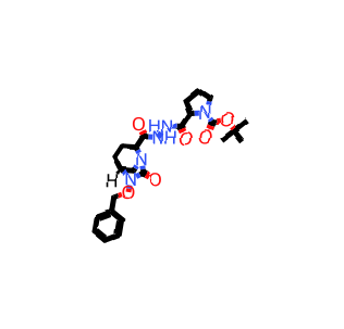 CC(C)(C)OC(=O)N1CCCC1C(=O)NNC(=O)C1CC[C@@H]2CN1C(=O)N2OCc1ccccc1